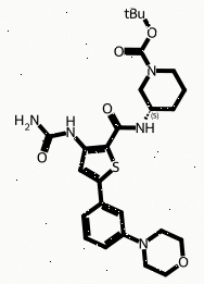 CC(C)(C)OC(=O)N1CCC[C@H](NC(=O)c2sc(-c3cccc(N4CCOCC4)c3)cc2NC(N)=O)C1